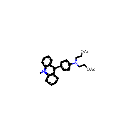 CC(=O)OCCN(CCOC(C)=O)c1ccc(-c2c3ccccc3[n+](C)c3ccccc23)cc1